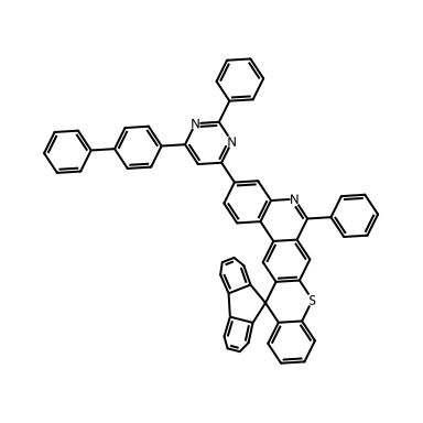 c1ccc(-c2ccc(-c3cc(-c4ccc5c(c4)nc(-c4ccccc4)c4cc6c(cc45)C4(c5ccccc5S6)c5ccccc5-c5ccccc54)nc(-c4ccccc4)n3)cc2)cc1